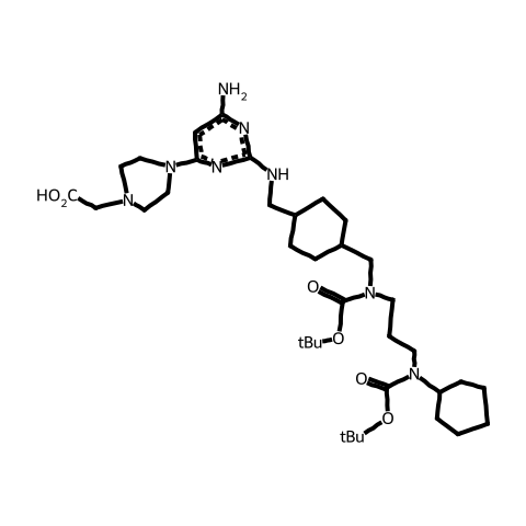 CC(C)(C)OC(=O)N(CCCN(C(=O)OC(C)(C)C)C1CCCCC1)CC1CCC(CNc2nc(N)cc(N3CCN(CC(=O)O)CC3)n2)CC1